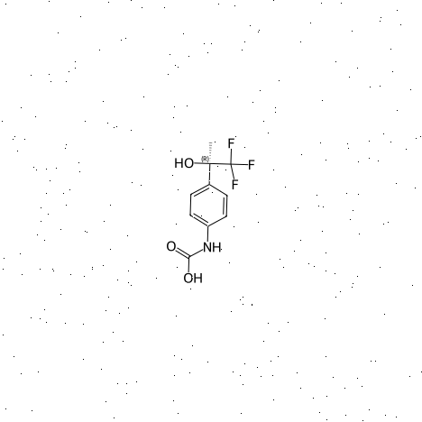 C[C@@](O)(c1ccc(NC(=O)O)cc1)C(F)(F)F